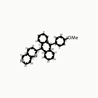 COc1ccc(-c2c3ccccc3c(-c3ccc4cnccc4n3)c3ccccc23)cc1